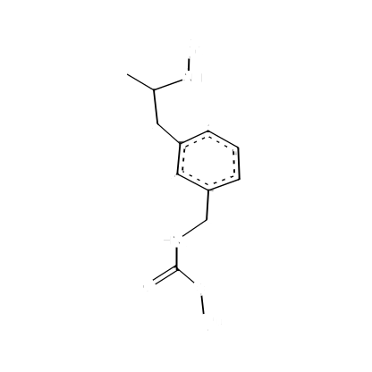 CC(Cc1cccc(CNC(=O)OC(C)(C)C)c1)NC(=O)O